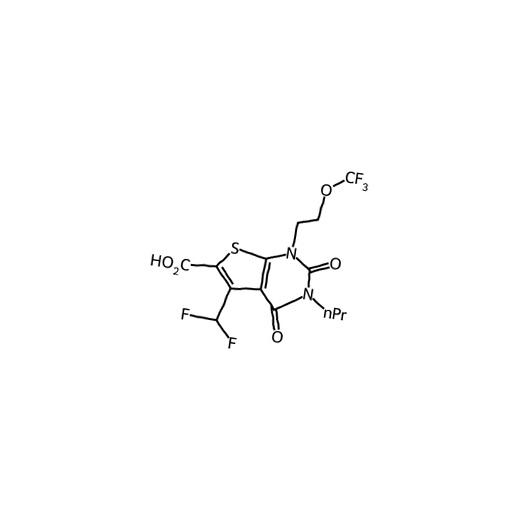 CCCn1c(=O)c2c(C(F)F)c(C(=O)O)sc2n(CCOC(F)(F)F)c1=O